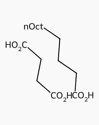 CCCCCCCCCCCC(=O)O.O=C(O)CCC(=O)O